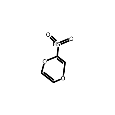 O=[SH](=O)C1=COC=CO1